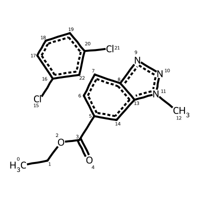 CCOC(=O)c1ccc2nnn(C)c2c1.Clc1cccc(Cl)c1